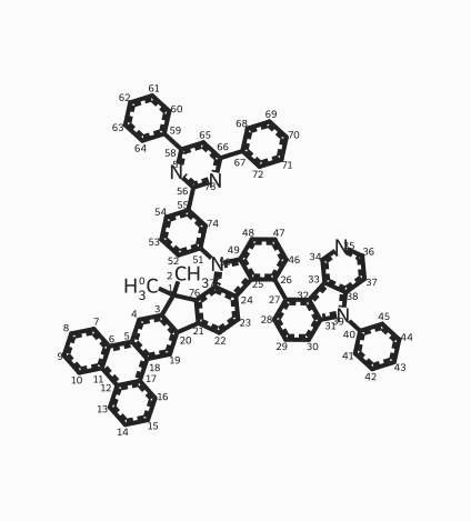 CC1(C)c2cc3c4ccccc4c4ccccc4c3cc2-c2ccc3c4c(-c5cccc6c5c5cnccc5n6-c5ccccc5)cccc4n(-c4cccc(-c5nc(-c6ccccc6)cc(-c6ccccc6)n5)c4)c3c21